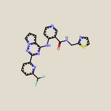 O=C(NCc1nccs1)c1cnccc1Nc1nc(-c2cccc(C(F)F)n2)nn2cccc12